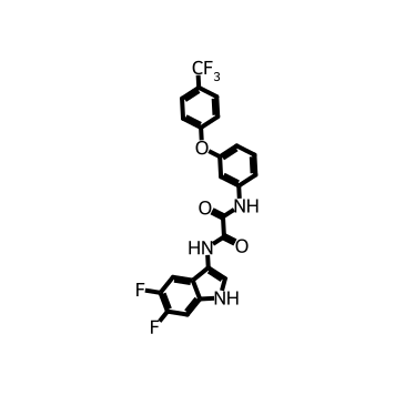 O=C(Nc1cccc(Oc2ccc(C(F)(F)F)cc2)c1)C(=O)Nc1c[nH]c2cc(F)c(F)cc12